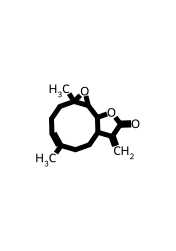 C=C1C(=O)OC2C1CCC(C)=CCCC1(C)OC21